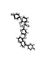 CN1CCC(c2cc3c(Oc4ccc(NC(=O)c5cccn(-c6ccc(F)cc6)c5=O)nc4)ccnc3cn2)CC1